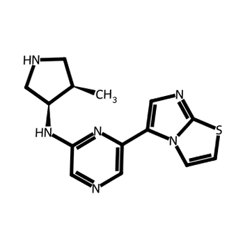 C[C@@H]1CNC[C@@H]1Nc1cncc(-c2cnc3sccn23)n1